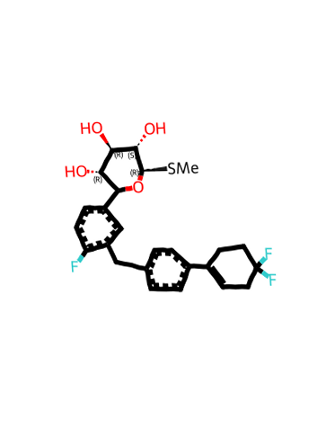 CS[C@H]1OC(c2ccc(F)c(Cc3ccc(C4=CCC(F)(F)CC4)cc3)c2)[C@H](O)[C@@H](O)[C@@H]1O